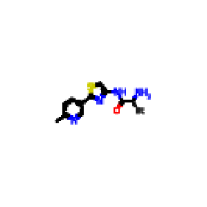 CC[C@H](N)C(=O)Nc1csc(-c2ccc(C)nc2)n1